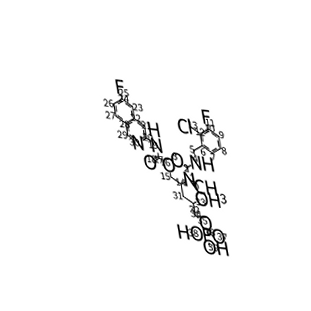 CN(C(=O)NCc1cccc(F)c1Cl)C(COC(=O)Nc1cc2cc(F)ccc2cn1)CC(O)COP(=O)(O)O